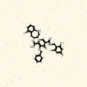 O=C(NCc1c(F)cc(F)cc1F)c1cn([C@@H]2CCc3c(F)cccc3NC2)c(C(=O)O)c(OCc2ccccc2)c1=O